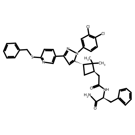 CC1(C)[C@@H](CC(=O)N[C@@H](Cc2ccccc2)C(N)=O)C[C@@H]1c1cc(-c2ccc(SCc3ccccc3)nc2)nn1-c1ccc(Cl)c(Cl)c1